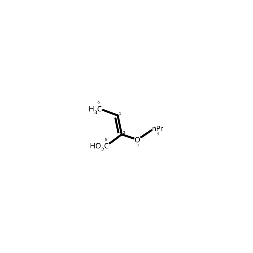 CC=C(OCCC)C(=O)O